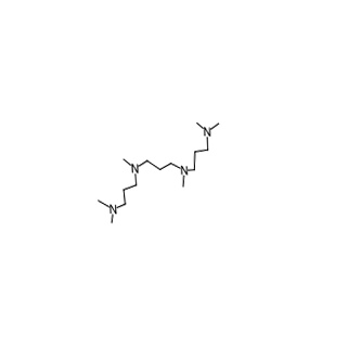 CN(C)CCCN(C)CCCN(C)CCCN(C)C